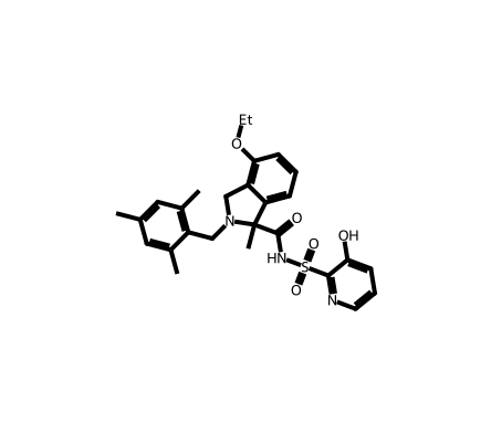 CCOc1cccc2c1CN(Cc1c(C)cc(C)cc1C)C2(C)C(=O)NS(=O)(=O)c1ncccc1O